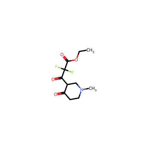 CCOC(=O)C(F)(F)C(=O)C1CN(C)CCC1=O